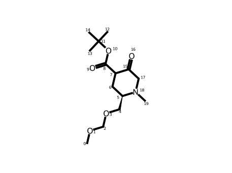 COCOC[C@H]1CC(C(=O)OC(C)(C)C)C(=O)CN1C